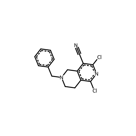 N#Cc1c(Cl)nc(Cl)c2c1CN(Cc1ccccc1)CC2